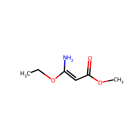 CCOC(N)=CC(=O)OC